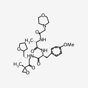 COc1ccc(C[C@H](NC(=O)[C@H](C)NC(=O)CN2CCOCC2)C(=O)N[C@@H](CC2CCCO2)C(=O)[C@@]2(C)CO2)cc1